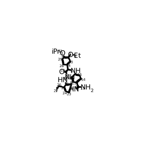 CCOc1cc(C(Nc2ccc(C(=N)N)cc2)C(=O)NNc2ccccc2CI)ccc1OC(C)C